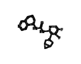 O=C(Nc1ccc(F)c(F)c1N1CC2CC2C1)Nc1cccc2cnccc12